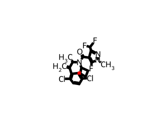 C=C(c1cc(Cl)ccc1Cl)C(C)N(C(=O)c1c(C(F)F)nn(C)c1F)C1CCC1